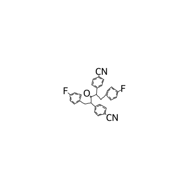 N#Cc1ccc(C(Cc2ccc(F)cc2)C(=O)C(Cc2ccc(F)cc2)c2ccc(C#N)cc2)cc1